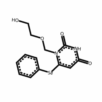 O=c1cc([Se]c2ccccc2)n(COCCO)c(=O)[nH]1